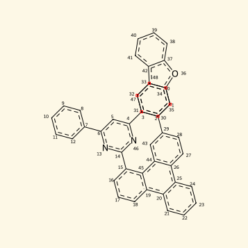 c1ccc(-c2cc(-c3ccccc3)nc(-c3cccc4c5ccccc5c5ccc(-c6ccc7c(c6)oc6ccccc67)cc5c34)n2)cc1